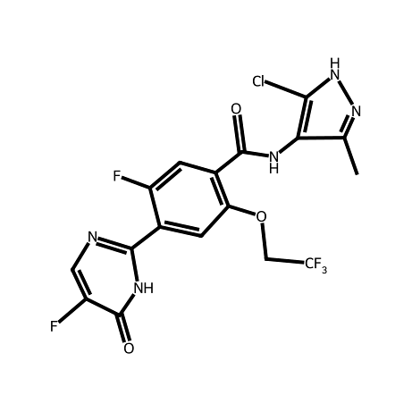 Cc1n[nH]c(Cl)c1NC(=O)c1cc(F)c(-c2ncc(F)c(=O)[nH]2)cc1OCC(F)(F)F